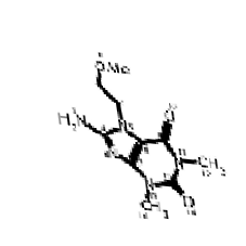 COCCn1c(N)nc2c1c(=O)n(C)c(=O)n2C